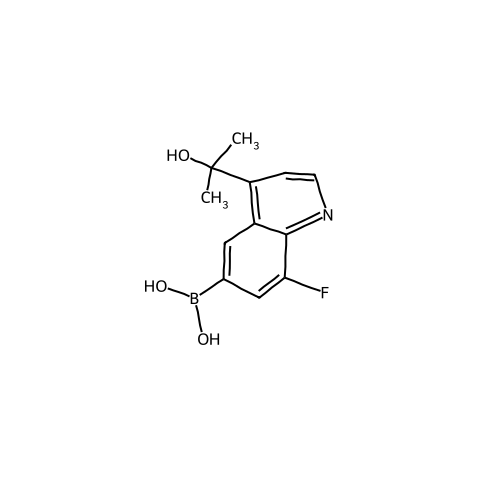 CC(C)(O)c1ccnc2c(F)cc(B(O)O)cc12